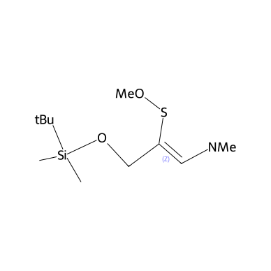 CN/C=C(/CO[Si](C)(C)C(C)(C)C)SOC